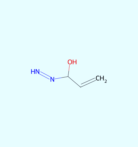 C=CC(O)N=N